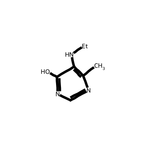 CCNc1c(C)n[c]nc1O